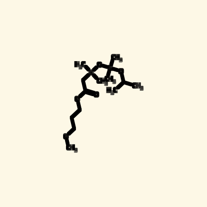 COCCCOC(=O)C[Si](C)(C)O[Si](C)(C)OC(C)C